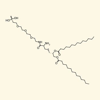 C=P(O)(O)CCOCCOCCOCCNC(=O)[C@@H](N)CSC[C@@H](COC(=O)CCCCCCCCCCCCC)OC(=O)CCCCCCCCCCCCC